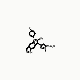 CC(C)c1c(-c2cc(C(=O)O)n(C)n2)c2cc3[nH]ncc3cc2n1-c1ccc(F)cc1